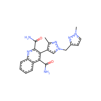 Cc1nn(Cc2ccn(C)n2)cc1-c1c(C(N)=O)nc2ccccc2c1C(N)=O